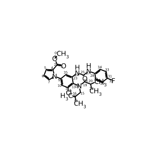 COC(=O)c1cccn1-c1cc(Cl)c(N(CC(C)C)CC(C)C)c(NC(=O)Nc2ccc(F)cc2)c1